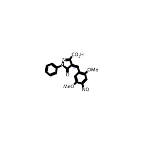 COc1cc(N=O)c(OC)cc1/C=C1\C(=O)N(c2ccccc2)N=C1C(=O)O